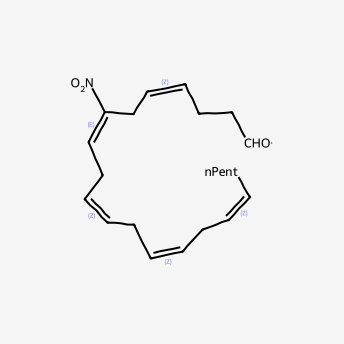 CCCCC/C=C\C/C=C\C/C=C\C/C=C(\C/C=C\CC[C]=O)[N+](=O)[O-]